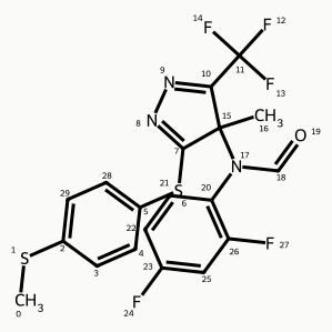 CSc1ccc(SC2=NN=C(C(F)(F)F)C2(C)N(C=O)c2ccc(F)cc2F)cc1